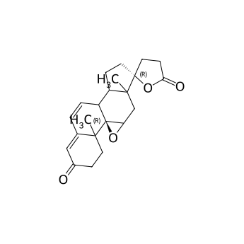 CC12CC3O[C@@]34C(C=CC3=CC(=O)CCC34C)C1CC[C@@]21CCC(=O)O1